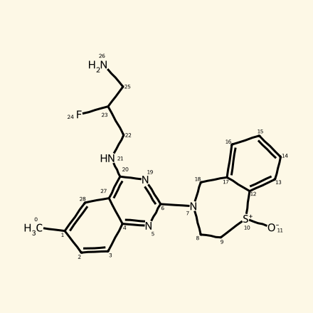 Cc1ccc2nc(N3CC[S+]([O-])c4ccccc4C3)nc(NCC(F)CN)c2c1